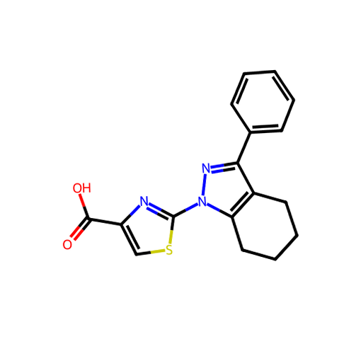 O=C(O)c1csc(-n2nc(-c3ccccc3)c3c2CCCC3)n1